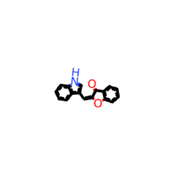 O=C1C(=Cc2c[nH]c3ccccc23)Oc2ccccc21